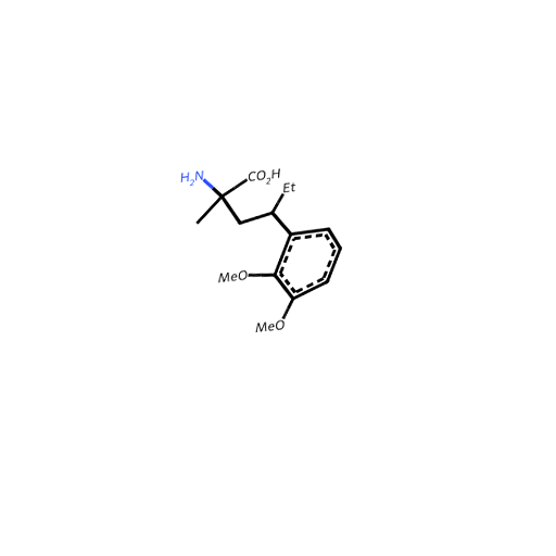 CCC(CC(C)(N)C(=O)O)c1cccc(OC)c1OC